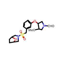 COC1CN(C=O)CC1Oc1cccc(CS(=O)(=O)N2CC3CCC(C2)O3)c1